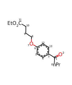 CCCC(=O)c1ccc(OCCCC(=O)OCC)cc1